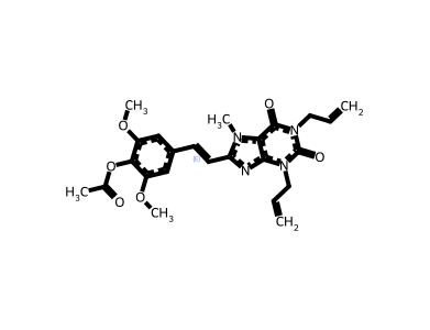 C=CCn1c(=O)c2c(nc(/C=C/c3cc(OC)c(OC(C)=O)c(OC)c3)n2C)n(CC=C)c1=O